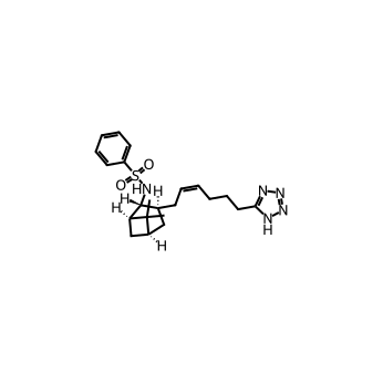 CC1(C)[C@H]2C[C@H](C/C=C\CCCc3nnn[nH]3)[C@@H](NS(=O)(=O)c3ccccc3)[C@@H]1C2